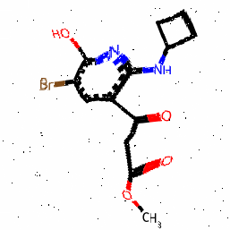 COC(=O)CC(=O)c1cc(Br)c(O)nc1NC1CCC1